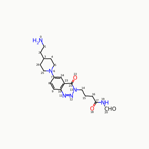 NCCC1CCN(c2ccc3nnn(CCCC(=O)NC=O)c(=O)c3c2)CC1